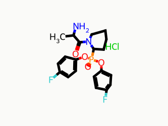 CC(N)C(=O)N1CCCCC1P(=O)(Oc1ccc(F)cc1)Oc1ccc(F)cc1.Cl